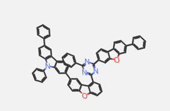 c1ccc(-c2ccc3c(c2)oc2cc(-c4nc(-c5ccccc5)nc(-c5cccc6oc7ccc(-c8ccc9c%10cc(-c%11ccccc%11)ccc%10n(-c%10ccccc%10)c9c8)cc7c56)n4)ccc23)cc1